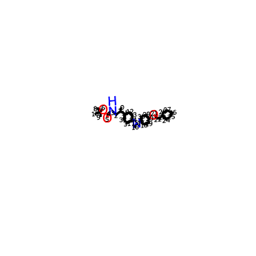 CC(CNC(=O)OC(C)(C)C)c1ccc(N(C)c2ccc(OCc3ccccc3)cc2)cc1